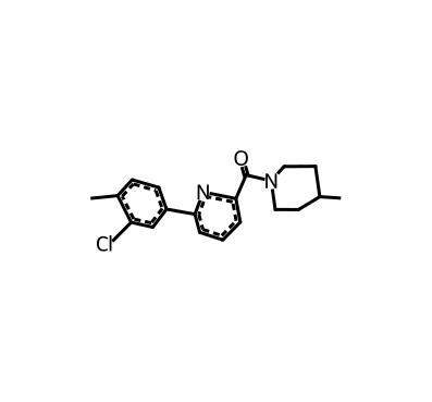 Cc1ccc(-c2cccc(C(=O)N3CCC(C)CC3)n2)cc1Cl